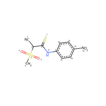 CS(=O)(=O)C(C#N)C(=S)Nc1ccc([N+](=O)[O-])cc1